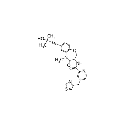 CN1C(=O)C(NC(=O)c2cc(Cc3cscn3)ccn2)COc2ccc(C#CC(C)(C)O)cc21